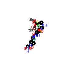 CC(C)(C)OC(=O)COc1c(C(=O)OC(C)(C)C)sc(-c2cccc(N[C@H]3CCN(S(=O)(=O)Cc4cccc(NC(=O)N5CCC(c6ccc7c8c(cccc68)C(=O)N7C6CCC(=O)NC6=O)C(F)(F)C5)c4)C(C)(C)C3)c2)c1Cl